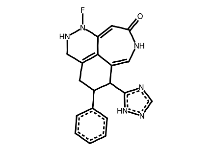 O=C1C=C2C3=C(CNN2F)CC(c2ccccc2)C(c2ncn[nH]2)C3=CN1